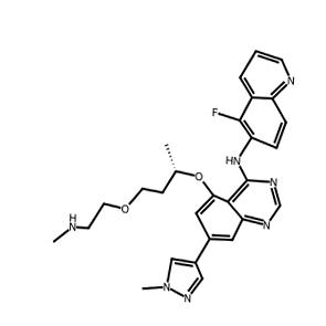 CNCCOCC[C@H](C)Oc1cc(-c2cnn(C)c2)cc2ncnc(Nc3ccc4ncccc4c3F)c12